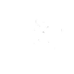 C#CC[C@](CC(C)(C)c1ccc(F)cc1C(=O)O)(O[Si](CC)(CC)CC)C(F)(F)F